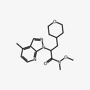 CON(C)C(=O)C(CC1CCOCC1)n1ncc2c(C)ccnc21